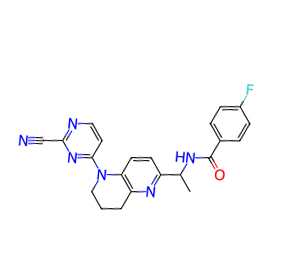 CC(NC(=O)c1ccc(F)cc1)c1ccc2c(n1)CCCN2c1ccnc(C#N)n1